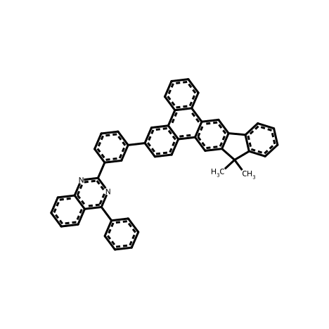 CC1(C)c2ccccc2-c2cc3c4ccccc4c4cc(-c5cccc(-c6nc(-c7ccccc7)c7ccccc7n6)c5)ccc4c3cc21